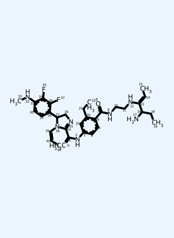 C=C(Nc1ccc(C(=O)NCCN/C(=C\C)C(N)CC)c(CC)c1)C1=NCC(c2ccc(NC)c(F)c2F)N1/C=C\C